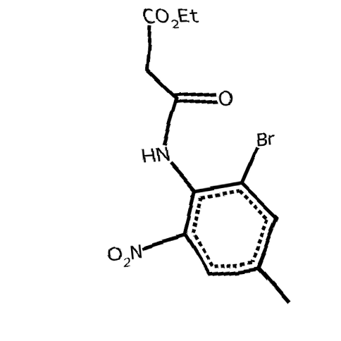 CCOC(=O)CC(=O)Nc1c(Br)cc(C)cc1[N+](=O)[O-]